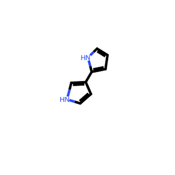 c1c[nH]c(-c2cc[nH]c2)c1